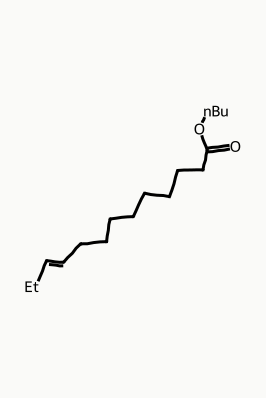 CCC=CCCCCCCCCC(=O)OCCCC